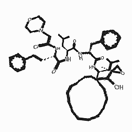 CC(C)C[C@H](NC(=O)[C@H](CCc1ccccc1)NC(=O)CN1CCOCC1)C(=O)N[C@@H](Cc1ccccc1)C(=O)N[C@@H](CC(C)C)C1(C(O)[C@@]2(C)CO2)CCCCCCCCCCCCC1